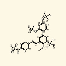 COc1c(C=Cc2ccc(NS(C)(=O)=O)cc2)cc(-c2cnc(OC(C)(C)C)nc2OC(C)(C)C)cc1C(F)(F)F